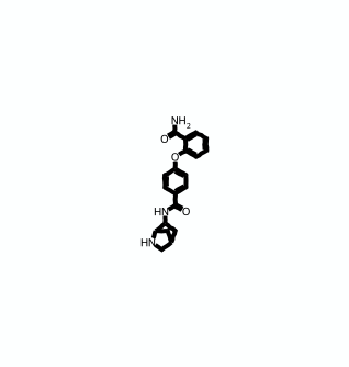 NC(=O)c1ccccc1Oc1ccc(C(=O)NC2CC3CNC2C3)cc1